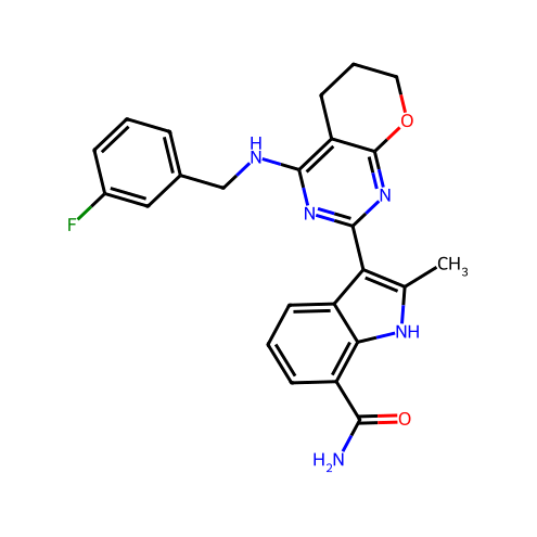 Cc1[nH]c2c(C(N)=O)cccc2c1-c1nc(NCc2cccc(F)c2)c2c(n1)OCCC2